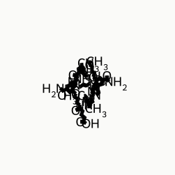 CCn1nc(C)cc1C(=O)Nc1nc2cc(C(N)=O)cc(OCCCNC(=O)CCCC(=O)O)c2n1CC=CCn1c2nc(-c3cc(C)nn3CC)ncc2c2cc(C(N)=O)cc(OCCCOC)c21